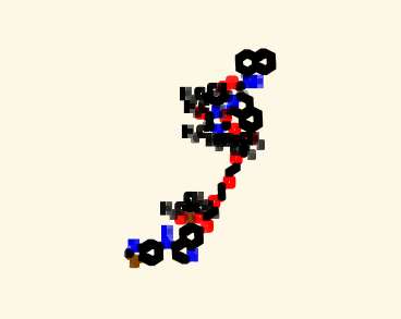 C[C@@H](C(=O)N[C@H](C(=O)N1Cc2cc(OCCOCCOCCOCCOc3cc4nccc(Nc5ccc6scnc6c5)c4cc3S(=O)(=O)C(C)(C)C)ccc2C[C@H]1C(=O)N[C@H]1CCCc2ccccc21)C(C)(C)C)N(C)C(=O)OC(C)(C)C